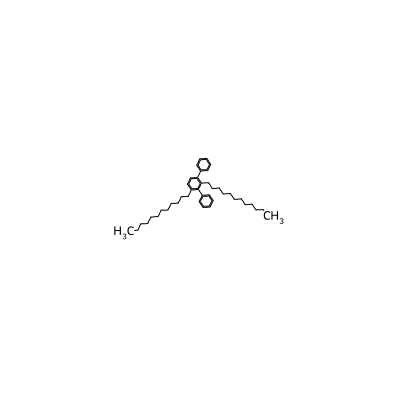 CCCCCCCCCCCCc1ccc(-c2ccccc2)c(CCCCCCCCCCCC)c1-c1ccccc1